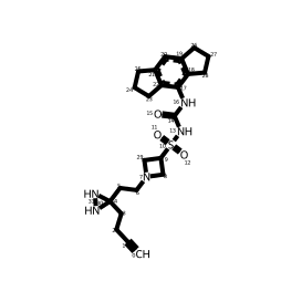 C#CCCC1(CCN2CC(S(=O)(=O)NC(=O)Nc3c4c(cc5c3CCC5)CCC4)C2)NN1